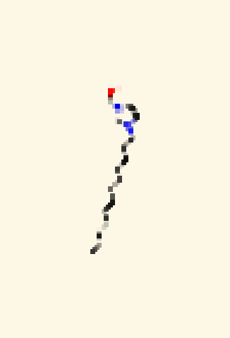 CCCCCCCCCCCCN1C=CN(CO)C1